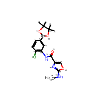 CC1(C)OB(c2ccc(Cl)c(NC(=O)c3coc(NC(=O)O)n3)c2)OC1(C)C